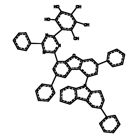 Oc1c(O)c(O)c(-c2nc(-c3ccccc3)nc(-c3cc(-c4ccccc4)cc4c3oc3cc(-c5ccccc5)cc(-n5c6ccccc6c6cc(-c7ccccc7)ccc65)c34)n2)c(O)c1O